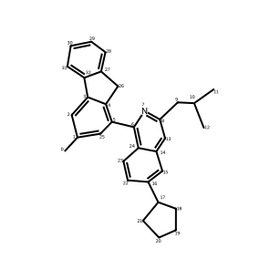 Cc1cc2c(c(-c3nc(CC(C)C)cc4cc(C5CCCC5)ccc34)c1)Cc1ccccc1-2